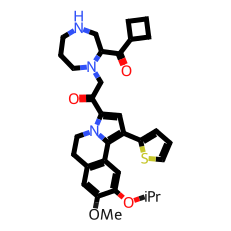 COc1cc2c(cc1OC(C)C)-c1c(-c3cccs3)cc(C(=O)CN3CCCNCC3C(=O)C3CCC3)n1CC2